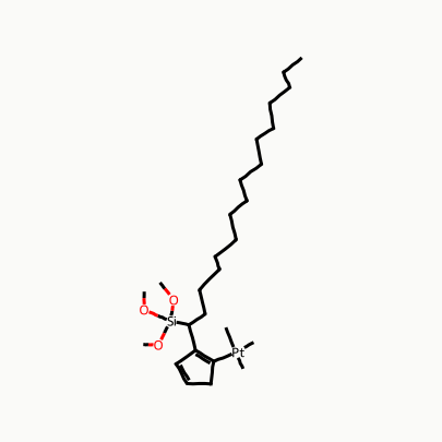 CCCCCCCCCCCCCCCC(C1=[C]([Pt]([CH3])([CH3])[CH3])CC=C1)[Si](OC)(OC)OC